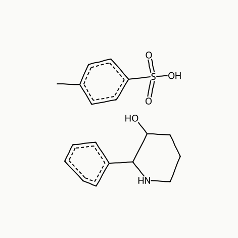 Cc1ccc(S(=O)(=O)O)cc1.OC1CCCNC1c1ccccc1